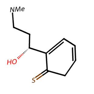 CNCC[C@@H](O)C1=CC=CCC1=S